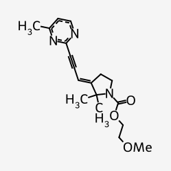 COCCOC(=O)N1CC/C(=C\C#Cc2nccc(C)n2)C1(C)C